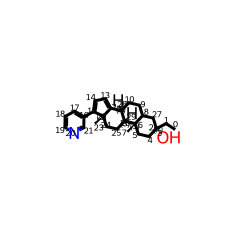 CC[C@@]1(O)CC[C@@]2(C)C(CC[C@H]3C4=CC=C(c5cccnc5)[C@@]4(C)CC[C@@H]32)C1